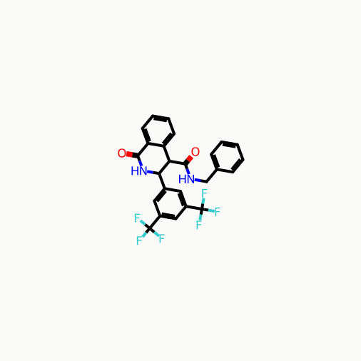 O=C1NC(c2cc(C(F)(F)F)cc(C(F)(F)F)c2)C(C(=O)NCc2ccccc2)c2ccccc21